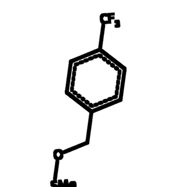 CSOCc1ccc(C(F)(F)F)cc1